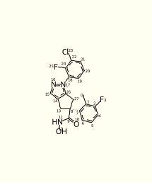 Cc1c(F)cccc1[C@]1(C(=O)NO)Cc2cnn(-c3cccc(Cl)c3F)c2C1